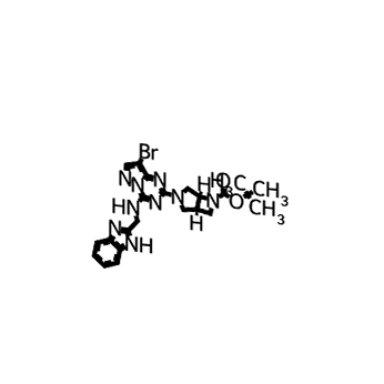 CC(C)(C)OC(=O)N1C[C@@H]2CN(c3nc(NCc4nc5ccccc5[nH]4)n4ncc(Br)c4n3)C[C@@H]21